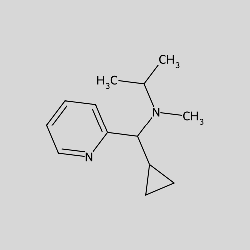 CC(C)N(C)C(c1ccccn1)C1CC1